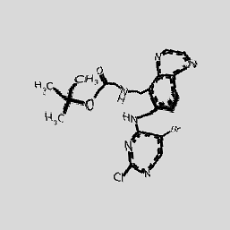 CC(C)(C)OC(=O)NCc1c(Nc2nc(Cl)ncc2Br)ccc2nccnc12